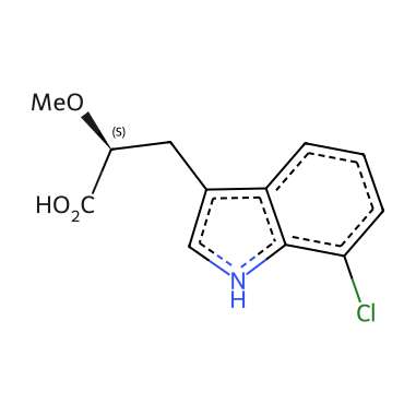 CO[C@@H](Cc1c[nH]c2c(Cl)cccc12)C(=O)O